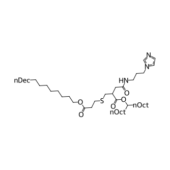 CCCCCCCCCCCCCCCCCCOC(=O)CCSCC(CC(=O)NCCCn1ccnc1)C(=O)OC(CCCCCCCC)CCCCCCCC